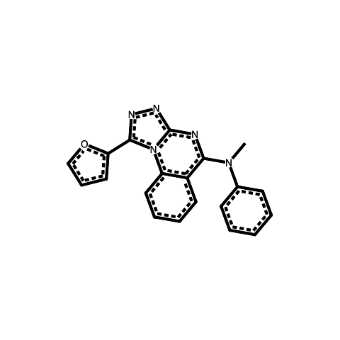 CN(c1ccccc1)c1nc2nnc(-c3ccco3)n2c2ccccc12